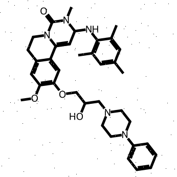 COc1cc2c(cc1OCC(O)CN1CCN(c3ccccc3)CC1)C1=CC(Nc3c(C)cc(C)cc3C)N(C)C(=O)N1CC2